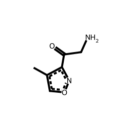 Cc1conc1C(=O)CN